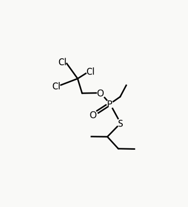 CCC(C)SP(=O)(CC)OCC(Cl)(Cl)Cl